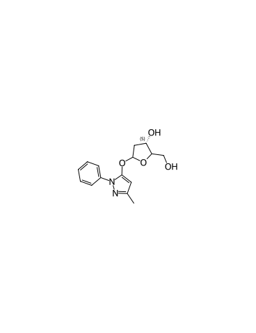 Cc1cc(OC2C[C@H](O)C(CO)O2)n(-c2ccccc2)n1